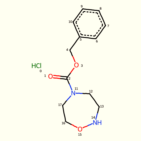 Cl.O=C(OCc1ccccc1)N1CCNOCC1